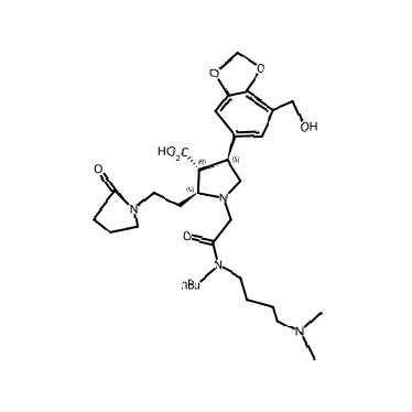 CCCCN(CCCCN(C)C)C(=O)CN1C[C@H](c2cc(CO)c3c(c2)OCO3)[C@@H](C(=O)O)[C@@H]1CCN1CCCC1=O